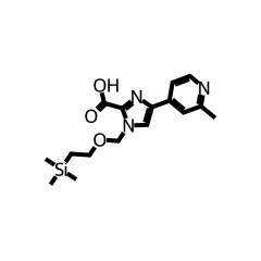 Cc1cc(-c2cn(COCC[Si](C)(C)C)c(C(=O)O)n2)ccn1